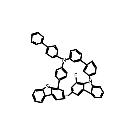 Fc1cc(F)c2c(c1)c1ccccc1n2-c1cccc(-c2cccc(N(c3ccc(-c4ccccc4)cc3)c3ccc(-c4cccc5c4sc4ccccc45)cc3)c2)c1